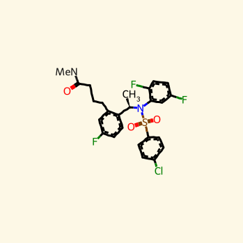 CNC(=O)CCCc1cc(F)ccc1[C@@H](C)N(c1cc(F)ccc1F)S(=O)(=O)c1ccc(Cl)cc1